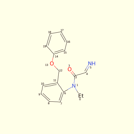 CCN(C(=O)C=N)c1ccccc1COc1ccccc1